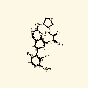 C=CC(=O)N[C@H]1COC[C@H]1Nc1ncc2cc(-c3c(F)ccc(OC)c3F)nc(NC)c2n1